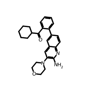 Nc1nc2ccc(-c3ccccc3C(=O)C3CCCCC3)cc2cc1N1CCOCC1